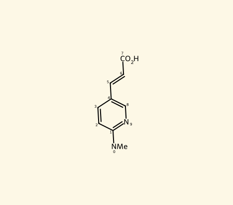 CNc1ccc(/C=C/C(=O)O)cn1